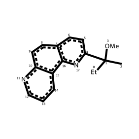 CCC(C)(OC)c1ccc2ccc3ncccc3c2n1